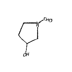 O=CN1CCC(O)C1